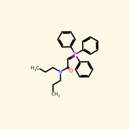 CCCN(CCC)C(=O)C=P(c1ccccc1)(c1ccccc1)c1ccccc1